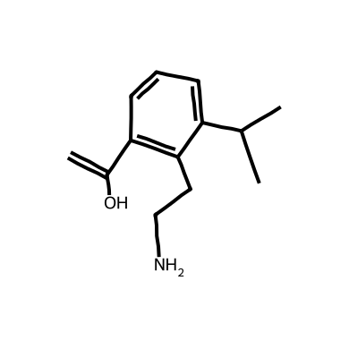 C=C(O)c1cccc(C(C)C)c1CCN